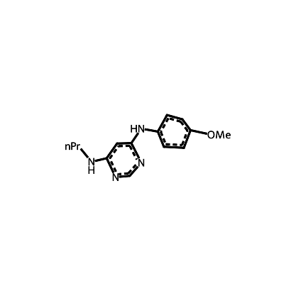 CCCNc1cc(Nc2ccc(OC)cc2)ncn1